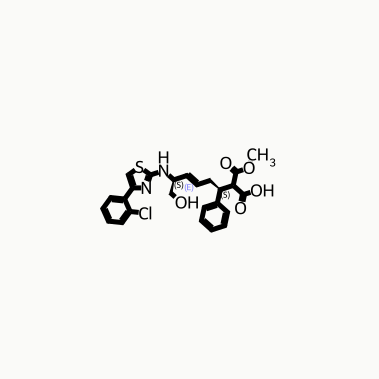 COC(=O)C(C(=O)O)[C@H](C/C=C/[C@@H](CO)Nc1nc(-c2ccccc2Cl)cs1)c1ccccc1